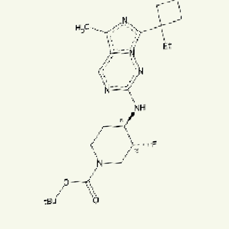 CCC1(c2nc(C)c3cnc(N[C@@H]4CCN(C(=O)OC(C)(C)C)C[C@H]4F)nn23)CCC1